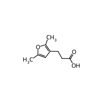 Cc1cc(CCC(=O)O)c(C)o1